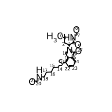 CCCC(C(=O)NC=O)N1Cc2c(SCCCCCNC=O)cccc2C1=O